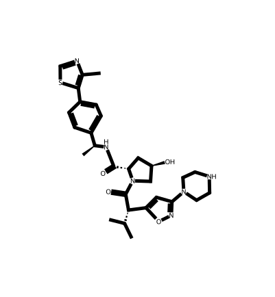 Cc1ncsc1-c1ccc([C@H](C)NC(=O)[C@@H]2C[C@@H](O)CN2C(=O)[C@H](c2cc(N3CCNCC3)no2)C(C)C)cc1